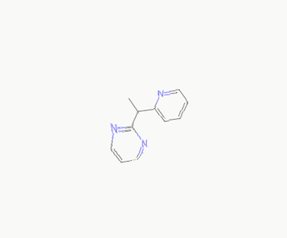 C[C](c1ccccn1)c1ncccn1